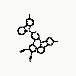 Cc1ccc2c(c1)c1ccccc1n2-c1cc(-c2ccc(C#N)c(C#N)c2)c(-n2c3ccccc3c3cc(C)ccc32)cn1